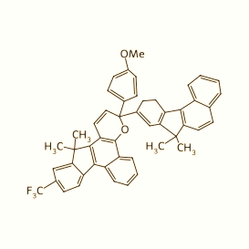 COc1ccc(C2(C3=CC4=C(CC3)c3c(ccc5ccccc35)C4(C)C)C=Cc3c4c(c5ccccc5c3O2)-c2ccc(C(F)(F)F)cc2C4(C)C)cc1